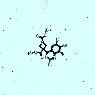 COC(=O)C1(c2nc(Cl)nc3c(F)c(Br)c(Cl)cc23)CN(C(=O)OC(C)(C)C)C1